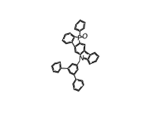 O=P1(c2ccccc2)c2ccccc2-c2cc3c(cc21)c1ccccc1n3-c1cc(-c2ccccc2)cc(-c2ccccc2)c1